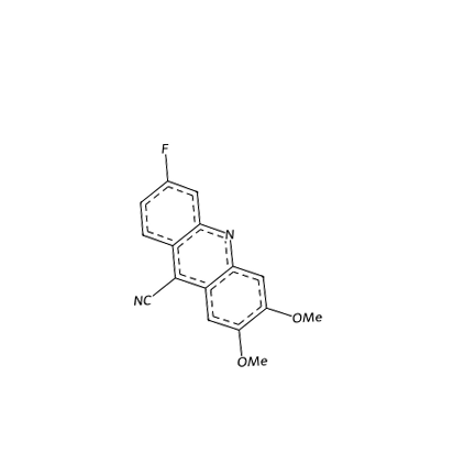 COc1cc2nc3cc(F)ccc3c(C#N)c2cc1OC